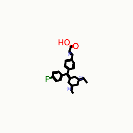 C/C=C1/CC(=C(c2ccc(F)cc2)c2ccc(/C=C/C(=O)O)cc2)C/C(=C/C)C1